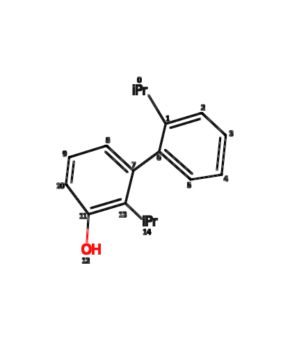 CC(C)c1ccccc1-c1cccc(O)c1C(C)C